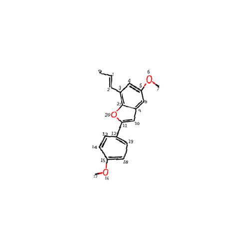 CC=Cc1cc(OC)cc2cc(-c3ccc(OC)cc3)oc12